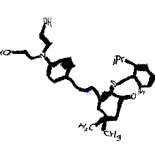 CC(C)c1cccc(C(C)C)c1SC1=C(/C=C/c2ccc(N(CCO)CCO)cc2)CC(C)(C)CC1=O